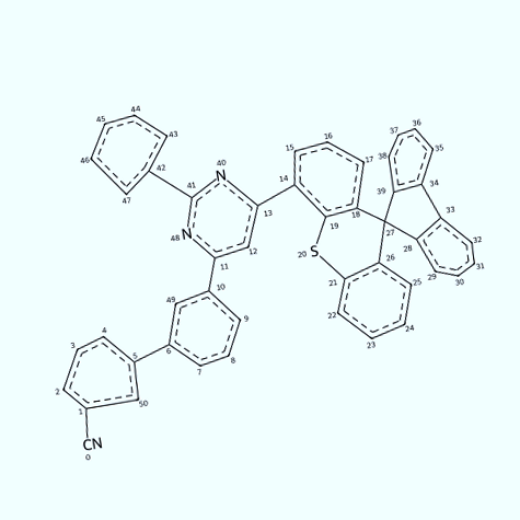 N#Cc1cccc(-c2cccc(-c3cc(-c4cccc5c4Sc4ccccc4C54c5ccccc5-c5ccccc54)nc(-c4ccccc4)n3)c2)c1